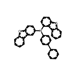 c1ccc(-c2ccc(N(c3ccc4oc5ccccc5c4c3)c3cccc4sc5ccccc5c34)cc2)cc1